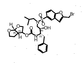 CC(C)CN(C[C@@H](O)[C@H](Cc1ccccc1)NC(=O)OC1CO[C@H]2OCC[C@@H]12)S(=O)(=O)c1ccc2oc(CBr)cc2c1